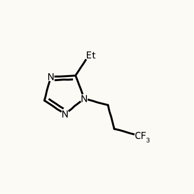 CCc1ncnn1CCC(F)(F)F